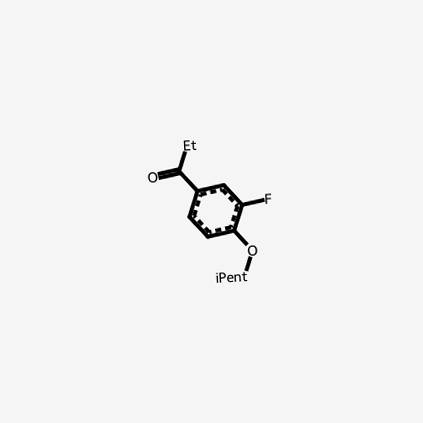 CCCC(C)Oc1ccc(C(=O)CC)cc1F